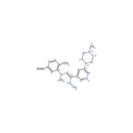 CNc1ccc(C)c(N(C)/C=C(\N=N)c2cncc(N3CCN(C)CC3)c2)c1